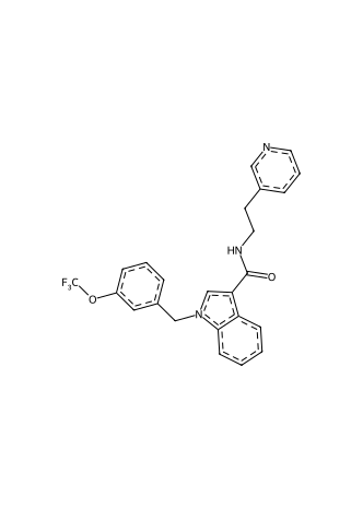 O=C(NCCc1cccnc1)c1cn(Cc2cccc(OC(F)(F)F)c2)c2ccccc12